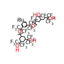 CCC(C)c1cc(C(OC(C)(C)C(C)CC(CCC(O)(C(F)(F)F)C(F)(F)F)C(O)(C(F)(F)F)C(F)(F)F)(C(F)(F)F)C(F)(F)F)cc(C(OC(C)(C)C2CC(C(O)(C(F)(F)F)C(F)(F)F)CC(C(O)(C(F)(F)F)C(F)(F)F)C2)(C(F)(F)F)C(F)(F)F)c1